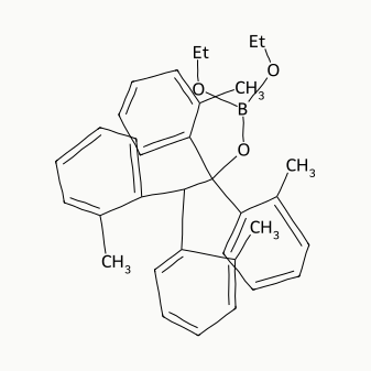 CCOB(OCC)OC(c1ccccc1C)(c1ccccc1C)C(c1ccccc1C)c1ccccc1C